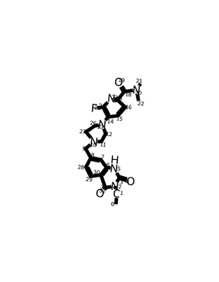 CCn1c(=O)[nH]c2cc(CN3CCN(c4ccc(C(=O)N(C)C)nc4F)CC3)ccc2c1=O